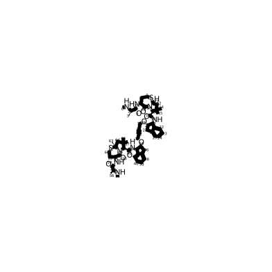 CN[C@@H](C)C(=O)N[C@H]1CCS[C@H]2CC(C)(C)[C@@H](C(=O)N[C@H]3c4ccccc4C[C@H]3OCC#CCO[C@@H]3Cc4ccccc4[C@@H]3NC(=O)[C@H]3N4C(=O)[C@@H](NC(=O)[C@H](C)NC)CCS[C@@]4(C)CC3(C)C)N2C1=O